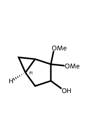 COC1(OC)C(O)C[C@H]2CC21